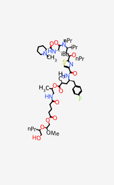 CCCO[C@H](C[C@H](C(C)C)N(CCC)C(=O)[C@@H](NC(=O)[C@H]1CCCCN1C)[C@@H](C)CC)c1nc(C(=O)N[C@@H](Cc2ccc(F)cc2)C[C@H](C)C(=O)OC(C)CNC(=O)CCCC(=O)OCC(OC)OC(CO)CCC)cs1